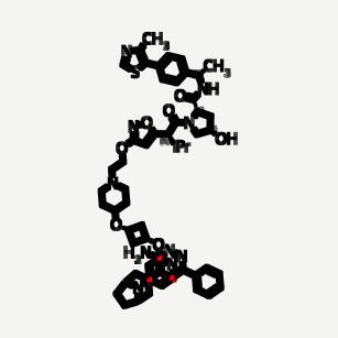 Cc1ncsc1-c1ccc([C@H](C)NC(=O)[C@@H]2C[C@@H](O)CN2C(=O)[C@H](c2cc(OCCN3CCC(O[C@H]4C[C@H](Oc5cc(N6C7CCC6CN(c6cc(-c8ccccc8)nnc6N)C7)ccn5)C4)CC3)no2)C(C)C)cc1